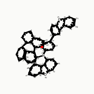 c1ccc(-c2cccc3cccc(-c4ccccc4N(c4ccc(-c5ccc6oc7ccccc7c6c5)cc4)c4cccc5oc6ccccc6c45)c23)cc1